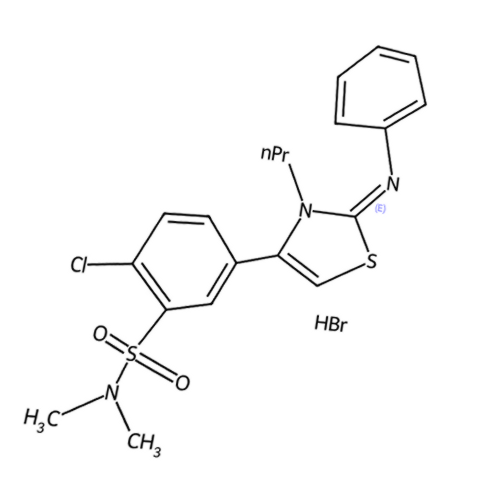 Br.CCCn1c(-c2ccc(Cl)c(S(=O)(=O)N(C)C)c2)cs/c1=N/c1ccccc1